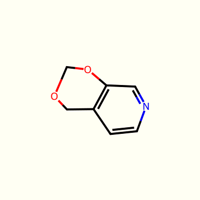 c1cc2c(cn1)OCOC2